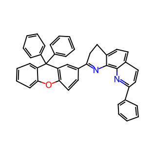 c1ccc(-c2ccc3ccc4c(c3n2)N=C(c2ccc3c(c2)C(c2ccccc2)(c2ccccc2)c2ccccc2O3)CC4)cc1